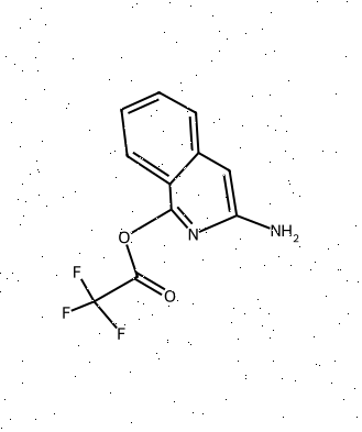 Nc1cc2ccccc2c(OC(=O)C(F)(F)F)n1